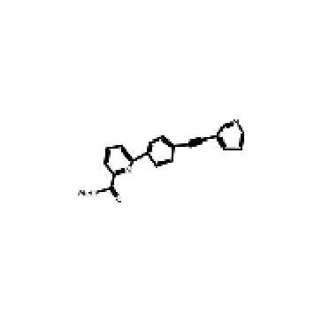 COC(=O)c1cccc(-c2ccc(C#Cc3cccnc3)cc2)n1